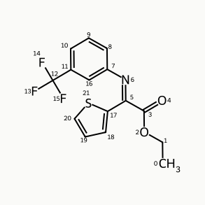 CCOC(=O)C(=Nc1cccc(C(F)(F)F)c1)c1cccs1